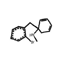 CNC1(Cc2ccccc2Br)C=CC=CC1